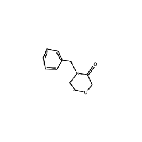 O=C1CO[CH]CN1Cc1ccccc1